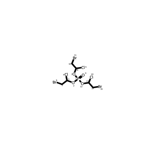 O=P(OC(Cl)CBr)(OC(Cl)CBr)OC(Cl)CBr